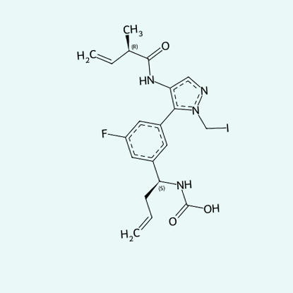 C=CC[C@H](NC(=O)O)c1cc(F)cc(-c2c(NC(=O)[C@H](C)C=C)cnn2CI)c1